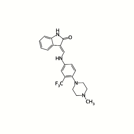 CN1CCN(c2ccc(N/C=C3/C(=O)Nc4ccccc43)cc2C(F)(F)F)CC1